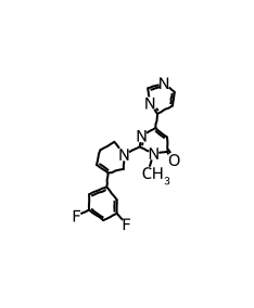 Cn1c(N2CCC=C(c3cc(F)cc(F)c3)C2)nc(-c2ccncn2)cc1=O